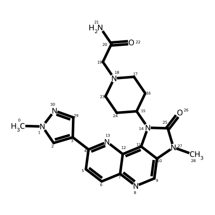 Cn1cc(-c2ccc3ncc4c(c3n2)n(C2CCN(CC(N)=O)CC2)c(=O)n4C)cn1